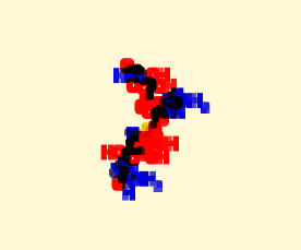 CO[C@@H]1[C@H](OP(=O)([O-])OC[C@H]2O[C@@H](n3ccc(=O)[nH]c3=O)[C@H](O)[C@@H]2O)[C@@H](COP(O)(=S)OP(=O)(O)OP(=O)(O)OC[C@H]2O[C@@H](n3c[n+](C)c4c(=O)[nH]c(N)nc43)[C@H](O)[C@@H]2CC(=O)N(C)C)O[C@H]1n1cnc2c(N)ncnc21